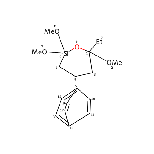 CCC1(OC)CCC[Si](OC)(OC)O1.c1cc2ccc1cc2